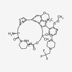 CO[C@@H](C)c1ncc(N2CCN(CC(F)(F)F)CC2)cc1-c1c2c3cc(cc4c3n1CCO4)-c1csc(n1)C[C@H](N)C(=O)N1CCC[C@H](N1)C(=O)OCC(C)(C)C2